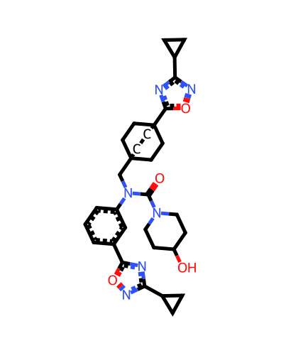 O=C(N1CCC(O)CC1)N(CC12CCC(c3nc(C4CC4)no3)(CC1)CC2)c1cccc(-c2nc(C3CC3)no2)c1